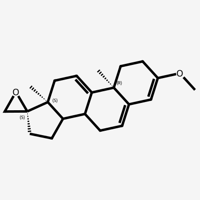 COC1=CC2=CCC3C(=CC[C@@]4(C)C3CC[C@@]43CO3)[C@@]2(C)CC1